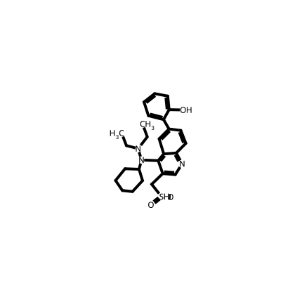 CCN(CC)N(c1c(C[SH](=O)=O)cnc2ccc(-c3ccccc3O)cc12)C1CCCCC1